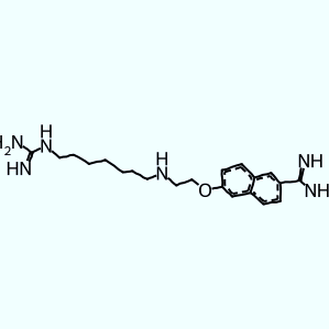 N=C(N)NCCCCCCCNCCOc1ccc2cc(C(=N)N)ccc2c1